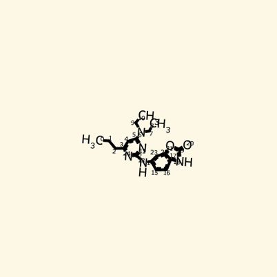 CCCc1cc(N(CC)CC)nc(Nc2ccc3[nH]c(=O)oc3c2)n1